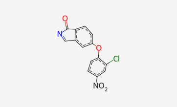 O=C1N=Cc2cc(Oc3ccc([N+](=O)[O-])cc3Cl)ccc21